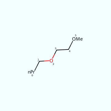 CCC[CH]OCCOC